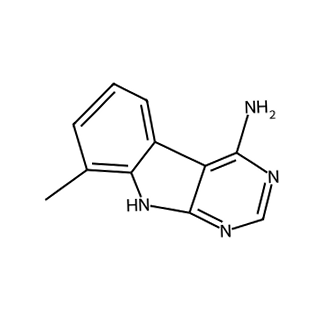 Cc1cccc2c1[nH]c1ncnc(N)c12